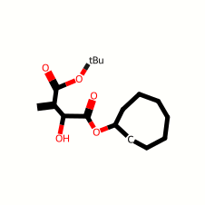 C=C(C(=O)OC(C)(C)C)C(O)C(=O)OC1CCCCCCC1